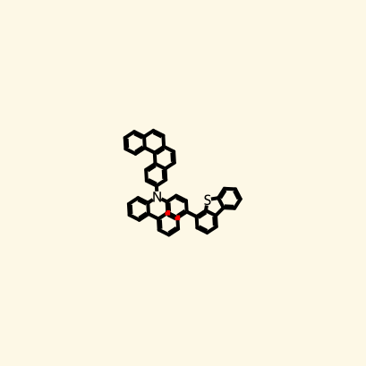 c1ccc(-c2ccccc2N(c2ccc(-c3cccc4c3sc3ccccc34)cc2)c2ccc3c(ccc4ccc5ccccc5c43)c2)cc1